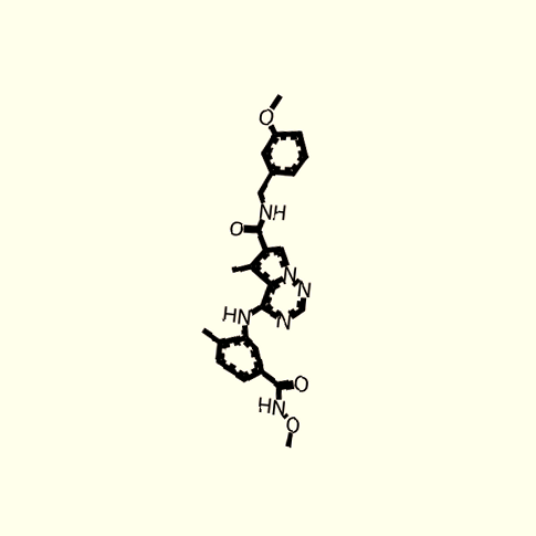 CONC(=O)c1ccc(C)c(Nc2ncnn3cc(C(=O)NCc4cccc(OC)c4)c(C)c23)c1